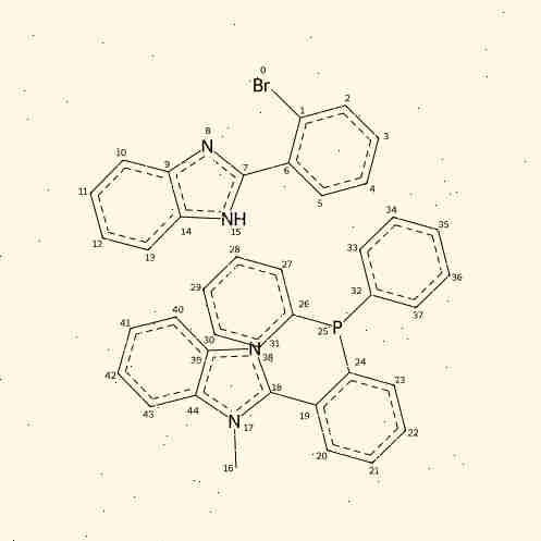 Brc1ccccc1-c1nc2ccccc2[nH]1.Cn1c(-c2ccccc2P(c2ccccc2)c2ccccc2)nc2ccccc21